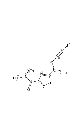 CN(C)C(=O)c1csc(N(C)CC#CI)n1